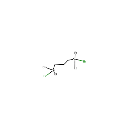 CC[Si](Br)(CC)CCC[Si](Br)(CC)CC